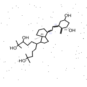 C=C1/C(=C\C=C2/CCC[C@@]3(C)C2CCC3C(CCCC(C)(C)O)CCC(O)C(C)(C)O)CC(O)C[C@@H]1O